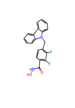 O=C(NO)c1ccc(Cn2c3ccccc3c3ccccc32)c(F)c1F